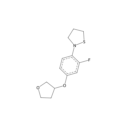 Fc1cc(OC2CCOC2)ccc1N1CCCS1